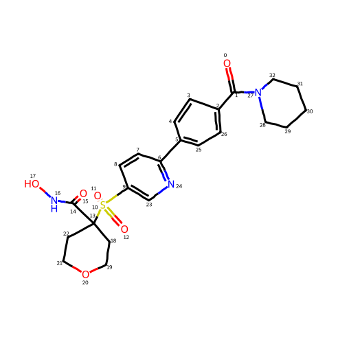 O=C(c1ccc(-c2ccc(S(=O)(=O)C3(C(=O)NO)CCOCC3)cn2)cc1)N1CCCCC1